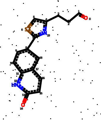 O=CCCc1csc(-c2ccc3[nH]c(=O)ccc3c2)n1